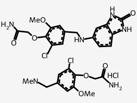 CNCc1cc(Cl)c(OCC(N)=O)c(OC)c1.COc1cc(CNc2ccc3[nH]c(=O)[nH]c3c2)cc(Cl)c1OCC(N)=O.Cl